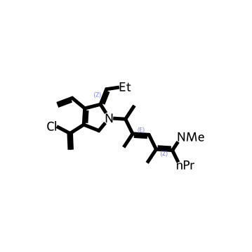 C=CC1=C(C(=C)Cl)CN(C(C)/C(C)=C/C(C)=C(/CCC)NC)/C1=C\CC